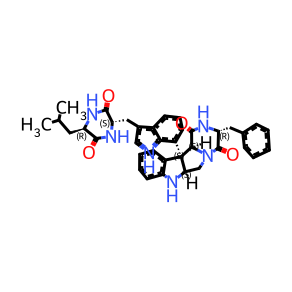 CC(C)C[C@H]1NC(=O)[C@H](Cc2c[nH]c3c([C@@]45c6ccccc6N[C@@H]4CN4C(=O)[C@@H](Cc6ccccc6)NC(=O)[C@@H]45)cccc23)NC1=O